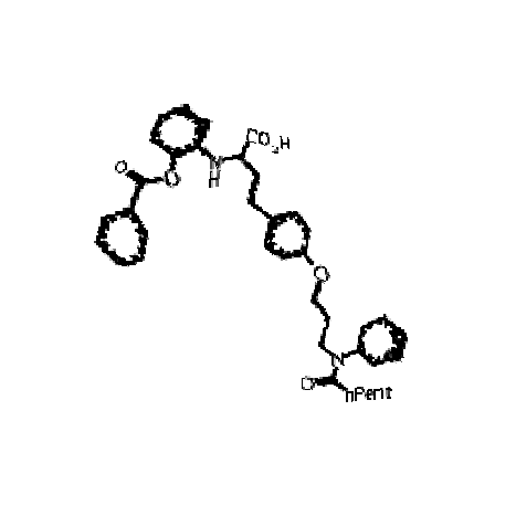 CCCCCC(=O)N(CCCOc1ccc(CCC(Nc2ccccc2OC(=O)c2ccccc2)C(=O)O)cc1)c1ccccc1